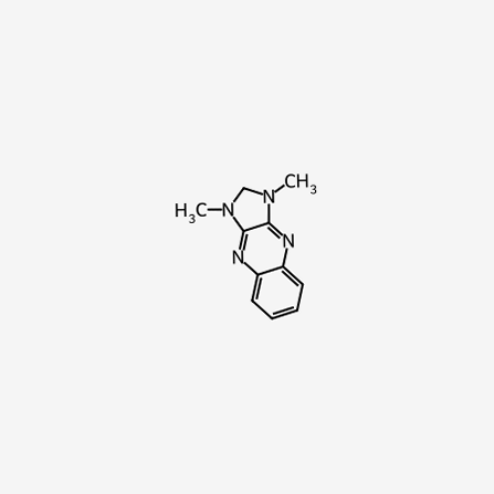 CN1CN(C)c2nc3ccccc3nc21